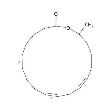 CC1CCC/C=C\C/C=C\CC/C=C\CCCC(=O)O1